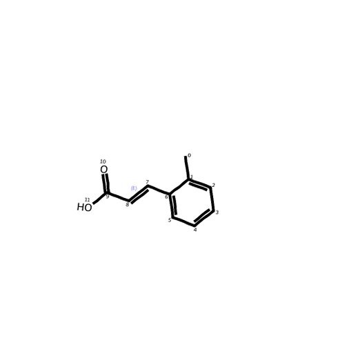 Cc1ccccc1/C=C/C(=O)O